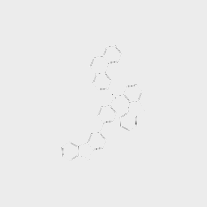 c1ccc2c(c1)ccc1ccc(N(c3ccc(-c4ccc5sc6ccccc6c5c4)cc3)c3cccc4sc5ccccc5c34)cc12